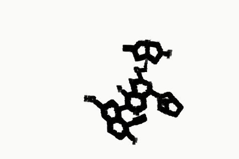 C#Cc1c(F)ccc2cc(O)cc(-c3ncc4c(N5CC6CCC(C5)N6)nc(OC[C@]56CC(=C)CN5C[C@@H](F)C6)nc4c3F)c12